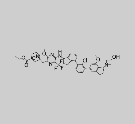 CCOC(=O)C12CCC(CC1)N(Cc1nc(C(F)(F)F)c(NC3CCc4c(-c5cccc(-c6cc7c(c(OC)c6)C(N6CC(O)C6)CC7)c5Cl)cccc43)nc1OC)C2